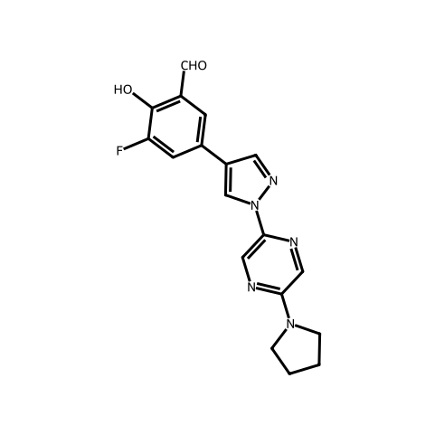 O=Cc1cc(-c2cnn(-c3cnc(N4CCCC4)cn3)c2)cc(F)c1O